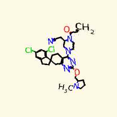 C=CC(=O)N1CCN(c2nc(OCC3CCCN3C)nc3c2CCC2(CCc4cc(Cl)cc(Cl)c42)C3)CC1CC#N